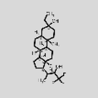 CC[C@]1(O)CC[C@@]2(C)[C@@H](CC[C@@H]3[C@@H]2CC[C@]2(C)[C@@H](C(C)C(O)C(F)(F)F)CC[C@@H]32)C1